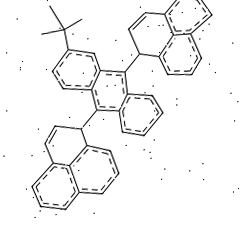 CC(C)(C)c1ccc2c(C3C=Cc4cccc5cccc3c45)c3ccccc3c(C3C=Cc4cccc5cccc3c45)c2c1